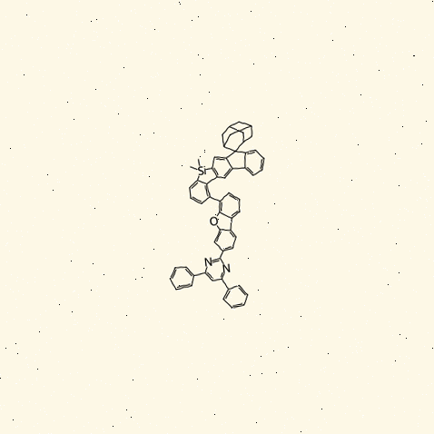 C[Si]1(C)c2cc3c(cc2-c2c(-c4cccc5c4oc4cc(-c6nc(-c7ccccc7)cc(-c7ccccc7)n6)ccc45)cccc21)-c1ccccc1C31C2CC3CC(C2)CC1C3